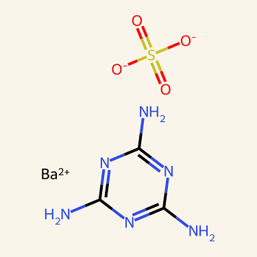 Nc1nc(N)nc(N)n1.O=S(=O)([O-])[O-].[Ba+2]